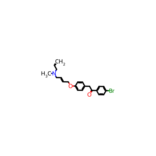 C=CCN(C)CC=CCOc1ccc(CC(=O)c2ccc(Br)cc2)cc1